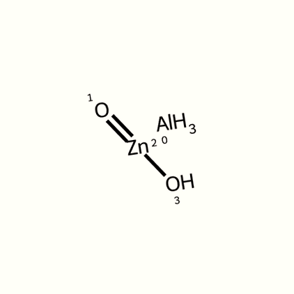 [AlH3].[O]=[Zn][OH]